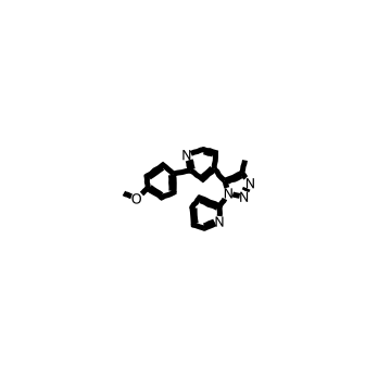 COc1ccc(-c2cc(-c3c(C)nnn3-c3ccccn3)ccn2)cc1